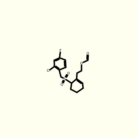 O=COCCC1=CCCCC1S(=O)(=O)Cc1ccc(F)cc1Cl